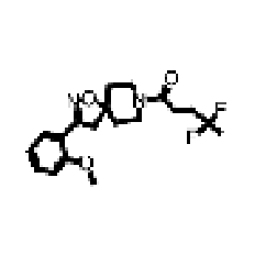 COc1ccccc1C1=NOC2(CCN(C(=O)CCC(C)(F)F)CC2)C1